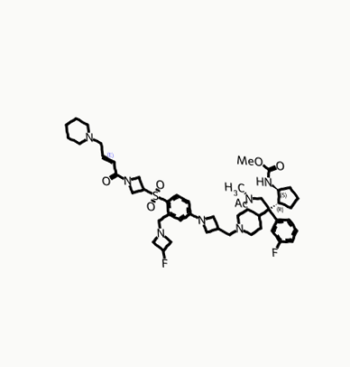 COC(=O)N[C@H]1CCC[C@@H]1C(CN(C)C(C)=O)(c1cccc(F)c1)C1CCN(CC2CN(c3ccc(S(=O)(=O)C4CN(C(=O)/C=C/CN5CCCCC5)C4)c(CN4CC(F)C4)c3)C2)CC1